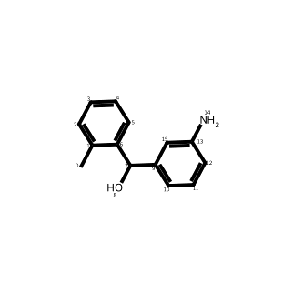 Cc1ccccc1C(O)c1cccc(N)c1